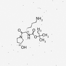 CC(C)(C)OC(=O)N[C@@H](CCCCN)C(=O)N1CC[C@@H](O)C1